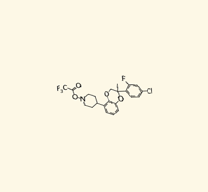 CC1(c2ccc(Cl)cc2F)COc2c(cccc2C2CCN(OC(=O)C(F)(F)F)CC2)O1